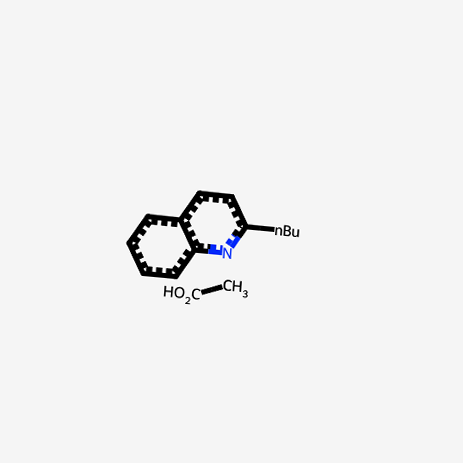 CC(=O)O.CCCCc1ccc2ccccc2n1